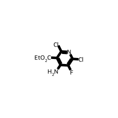 CCOC(=O)c1c(Cl)nc(Cl)c(F)c1N